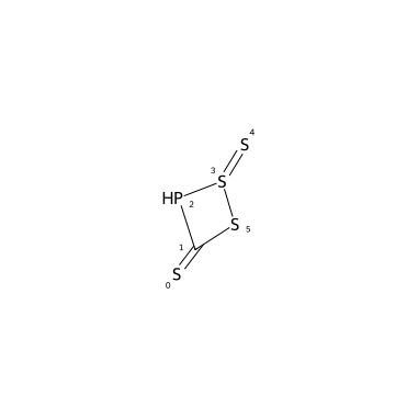 S=C1PS(=S)S1